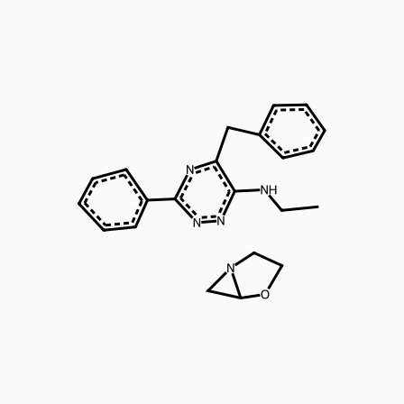 C1CN2CC2O1.CCNc1nnc(-c2ccccc2)nc1Cc1ccccc1